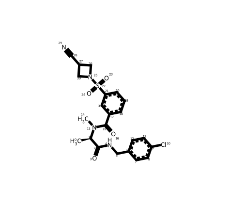 C[C@H](C(=O)NCc1ccc(Cl)cc1)N(C)C(=O)c1cccc(S(=O)(=O)N2CC(C#N)C2)c1